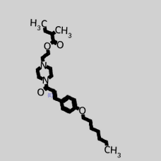 CCCCCCCOc1ccc(/C=C/C(=O)N2CCN(CCOC(=O)C(C)CC)CC2)cc1